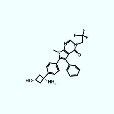 Cn1c(-c2ccc([C@]3(N)C[C@@H](O)C3)cc2)c(-c2ccccc2)c2c(=O)n(CC(F)(F)F)cnc21